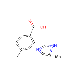 Cc1ccc(C(=O)O)cc1.[Mn].c1c[nH]cn1